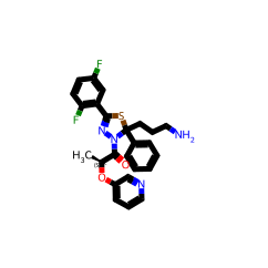 C[C@H](Oc1cccnc1)C(=O)N1N=C(c2cc(F)ccc2F)SC1(CCCN)c1ccccc1